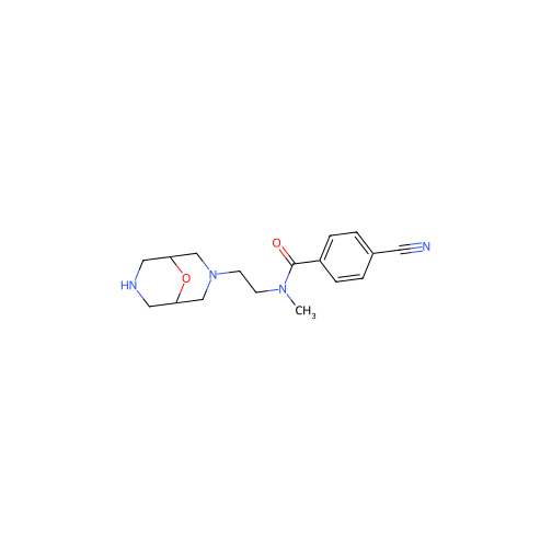 CN(CCN1CC2CNCC(C1)O2)C(=O)c1ccc(C#N)cc1